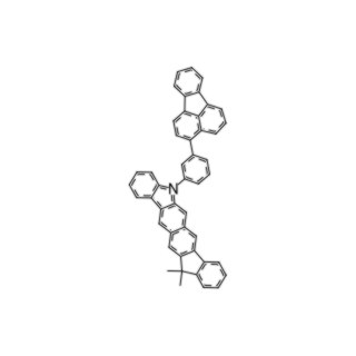 CC1(C)c2ccccc2-c2cc3cc4c(cc3cc21)c1ccccc1n4-c1cccc(-c2ccc3c4c(cccc24)-c2ccccc2-3)c1